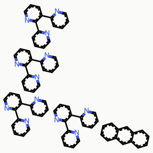 c1ccc(-c2cccnc2-c2ccccn2)nc1.c1ccc(-c2cccnc2-c2ccccn2)nc1.c1ccc(-c2cccnc2-c2ccccn2)nc1.c1ccc(-c2cccnc2-c2ccccn2)nc1.c1ccc2cc3ccccc3cc2c1